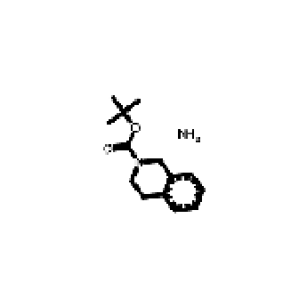 CC(C)(C)OC(=O)N1CCc2ccccc2C1.N